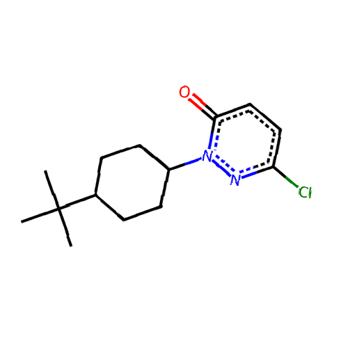 CC(C)(C)C1CCC(n2nc(Cl)ccc2=O)CC1